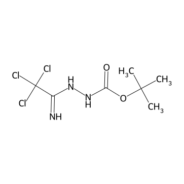 CC(C)(C)OC(=O)NNC(=N)C(Cl)(Cl)Cl